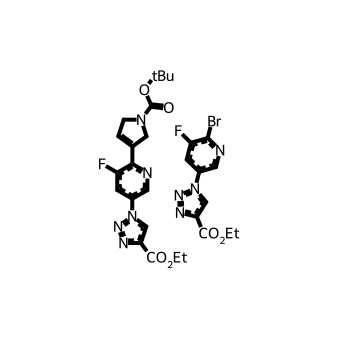 CCOC(=O)c1cn(-c2cnc(Br)c(F)c2)nn1.CCOC(=O)c1cn(-c2cnc(C3=CCN(C(=O)OC(C)(C)C)C3)c(F)c2)nn1